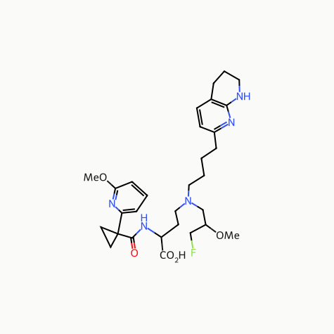 COc1cccc(C2(C(=O)NC(CCN(CCCCc3ccc4c(n3)NCCC4)CC(CF)OC)C(=O)O)CC2)n1